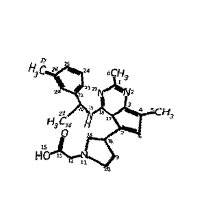 CC1=NC2=C(C)C=C(C3CCN(CC(=O)O)C3)C2C(NC(C)c2cccc(C)c2)=N1